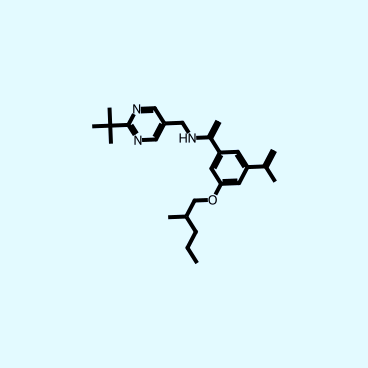 C=C(C)c1cc(OCC(C)CCC)cc(C(=C)NCc2cnc(C(C)(C)C)nc2)c1